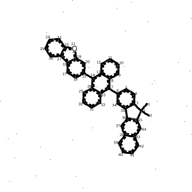 CC1(C)c2ccc(-c3c4ccccc4c(-c4ccc5c(c4)oc4ccccc45)c4ccccc34)cc2-c2cc3ccccc3cc21